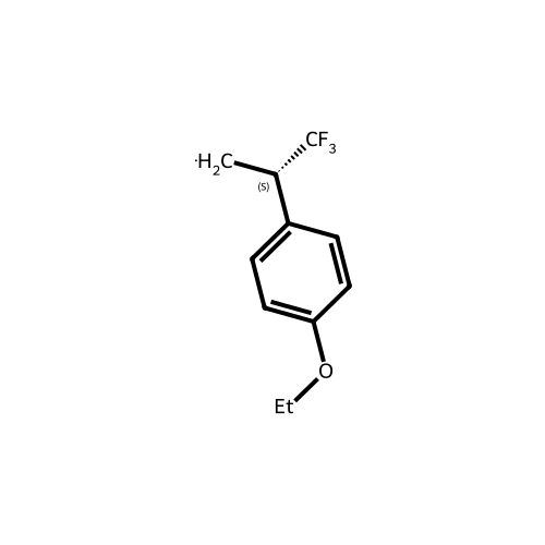 [CH2][C@@H](c1ccc(OCC)cc1)C(F)(F)F